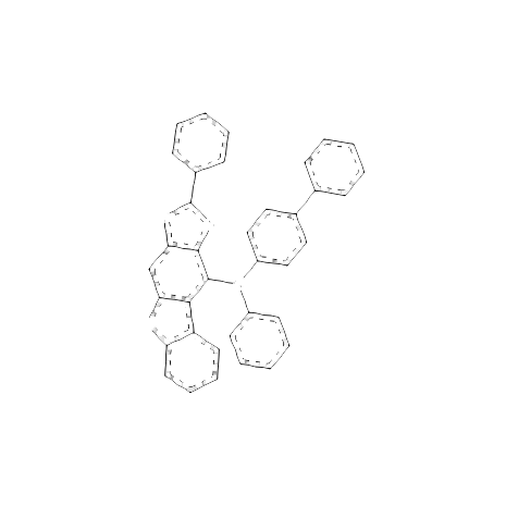 c1ccc(-c2ccc(N(c3ccccc3)c3c4nc(-c5ccccc5)oc4cc4oc5ccccc5c34)cc2)cc1